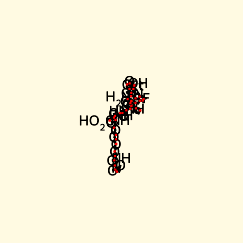 CC[C@@]1(O)C(=O)OCc2c1cc1n(c2=O)Cc2c-1nc1cc(F)c(C)c3c1c2[C@@H](N(CC(N)=O)C(=O)[C@H](Cc1ccccc1)NC(=O)CNC(=O)CNC(=O)[C@H](CC(=O)O)NC(=O)CCOCCOCCOCCOCCNC(=O)CCN1C(=O)C=CC1=O)CC3